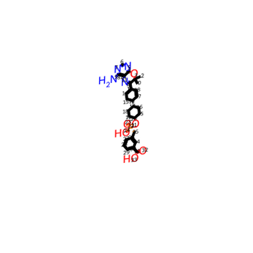 CC1(C)Oc2ncnc(N)c2N=C1C1=CCC([C@H]2CC[C@H](OP(=O)(O)Cc3cccc(C(=O)O)c3)CC2)C=C1